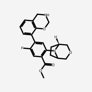 COC(=O)c1cc(F)c(-c2cccc3c2OCNC3)cc1N1C2CC[C@@H]1COC2